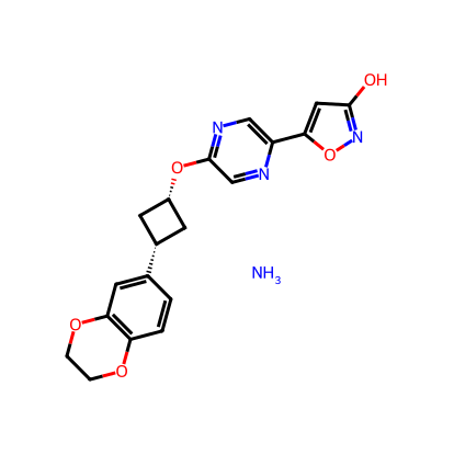 N.Oc1cc(-c2cnc(O[C@H]3C[C@@H](c4ccc5c(c4)OCCO5)C3)cn2)on1